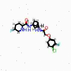 O=C(COc1ccc(Cl)c(F)c1)N[C@H]1CC2(NC(=O)C3CCC(F)CN3)CC1C2